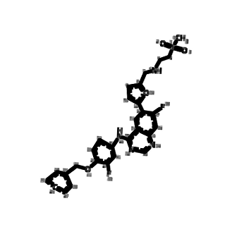 CS(=O)(=O)CCNCc1ccc(-c2cc3c(Nc4ccc(OCc5ccccc5)c(F)c4)ncnc3cc2F)o1